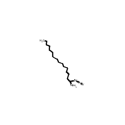 CCCCCCCCCCCCCCCC(N)N=[N+]=[N-]